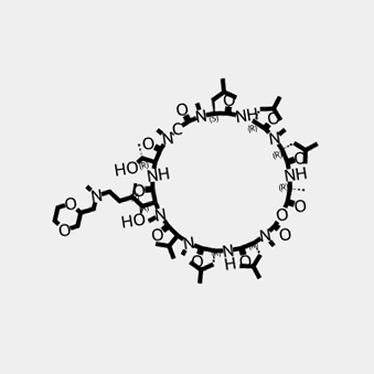 CC(C)C[C@@H]1C(=O)N[C@H](CC(C)C)C(=O)N(C)C(C(C)C)C(=O)N(C)C([C@H](O)[C@H](C)CCN(C)CC2COCCO2)C(=O)NC([C@@H](C)O)C(=O)N(C)CC(=O)N(C)[C@@H](CC(C)C)C(=O)N[C@H](CC(C)C)C(=O)N(C)[C@H](CC(C)C)C(=O)N[C@H](C)C(=O)OC(=O)N1C